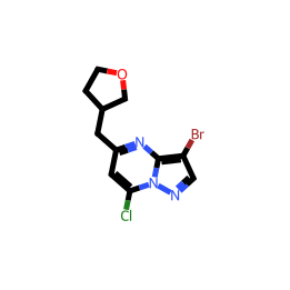 Clc1cc(CC2CCOC2)nc2c(Br)cnn12